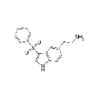 NCCc1ccc2[nH]cc(S(=O)(=O)c3ccccc3)c2c1